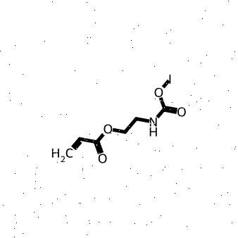 C=CC(=O)OCCNC(=O)OI